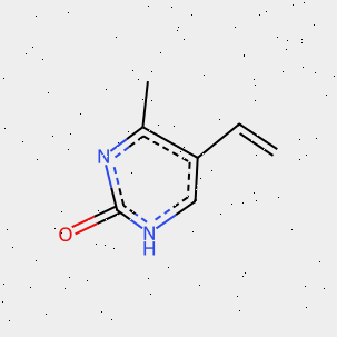 C=Cc1c[nH]c(=O)nc1C